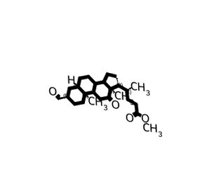 COC(=O)CC[C@@H](C)[C@H]1CCC2C3CC[C@@H]4C[C@H](C=O)CC[C@]4(C)C3CC(=O)[C@@]21C